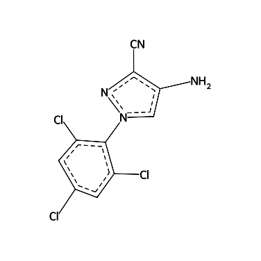 N#Cc1nn(-c2c(Cl)cc(Cl)cc2Cl)cc1N